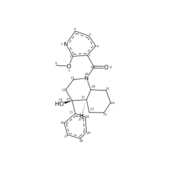 COc1ncccc1C(=O)N1CC[C@@](O)(c2ccccc2)[C@@H]2CCCCC21